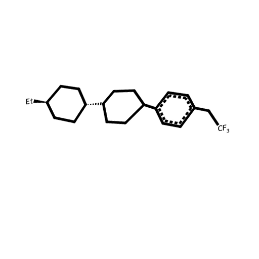 CC[C@H]1CC[C@H](C2CCC(c3ccc(CC(F)(F)F)cc3)CC2)CC1